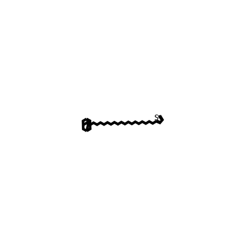 c1csc(CCCCCCCCCCCCCCCCCCC23CC4CC(CC(C4)C2)C3)c1